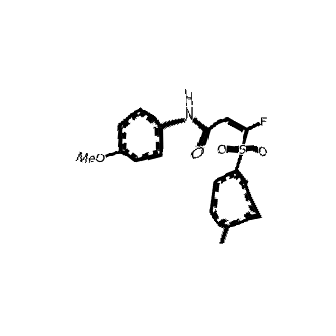 COc1ccc(NC(=O)C=C(F)S(=O)(=O)c2ccc(C)cc2)cc1